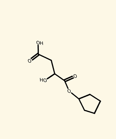 O=C(O)CC(O)C(=O)OC1CCCC1